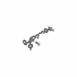 Cl.N=C(N)c1ccc(OCCCNCc2ccc3c(-c4ccncc4)c(-c4ccc(F)cc4)nn3c2)cc1